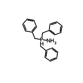 N[PH](Cc1ccccc1)(Cc1ccccc1)Cc1ccccc1